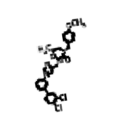 COc1ccc(CN2C[C@@H](C)O[C@@H](Cc3cn(-c4cccc(-c5ccc(Cl)c(Cl)c5)c4)cn3)C2=O)cc1